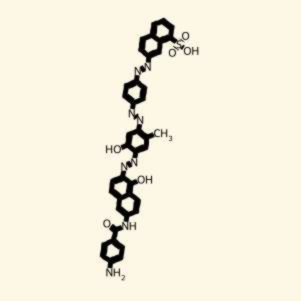 Cc1cc(N=Nc2ccc3cc(NC(=O)c4ccc(N)cc4)ccc3c2O)c(O)cc1N=Nc1ccc(N=Nc2ccc3cccc(S(=O)(=O)O)c3c2)cc1